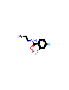 CC(C)CCNC(=O)c1ccc(F)cc1C(F)(F)F